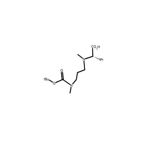 CC(C)[C@@H](C(=O)O)N(C)CCCN(C)C(=O)OC(C)(C)C